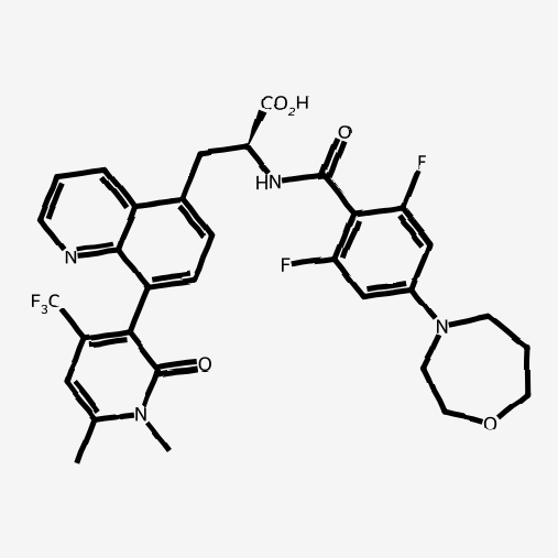 Cc1cc(C(F)(F)F)c(-c2ccc(C[C@H](NC(=O)c3c(F)cc(N4CCCOCC4)cc3F)C(=O)O)c3cccnc23)c(=O)n1C